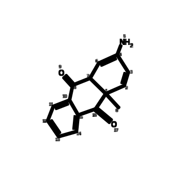 CC12C=CC(N)=CC1C(=O)c1ccccc1C2=O